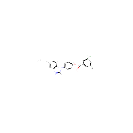 COc1ccc2c(c1)nc(C(F)(F)F)n2-c1ccc(OC(=O)c2cc(Cl)cc(Cl)c2)cc1